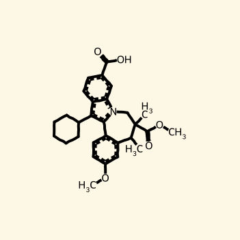 COC(=O)C1(C)Cn2c(c(C3CCCCC3)c3ccc(C(=O)O)cc32)-c2ccc(OC)cc2C1C